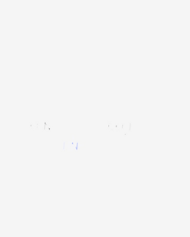 O=C(O)C1CNc2c1cccc2[N+](=O)[O-]